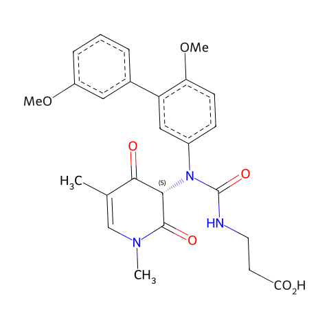 COc1cccc(-c2cc(N(C(=O)NCCC(=O)O)[C@H]3C(=O)C(C)=CN(C)C3=O)ccc2OC)c1